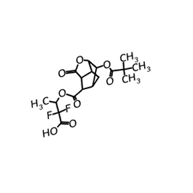 CC(OC(=O)C1C2CC3C(OC(=O)C31)C2OC(=O)C(C)(C)C)C(F)(F)C(=O)O